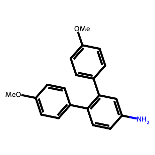 COc1ccc(-c2ccc(N)cc2-c2ccc(OC)cc2)cc1